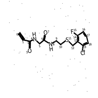 C#CC(=O)NCC(=O)NCCSCc1c(F)cccc1Cl